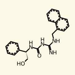 N=C(NCc1cccc2ccccc12)NC(=O)N[C@H](CO)c1ccccc1